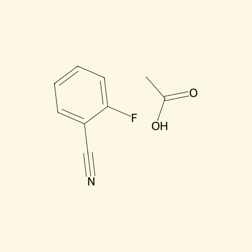 CC(=O)O.N#Cc1ccccc1F